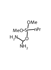 CCC[Si](OC)(OC)OC(N)N